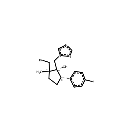 C[C@]1(CBr)CC[C@@H](c2ccc(F)cc2)[C@]1(O)Cn1cncn1